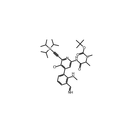 CNc1c(C=N)cccc1-c1cc(NC(=O)C(C)N(C)C(=O)OC(C)(C)C)nc(C#C[Si](C(C)C)(C(C)C)C(C)C)c1Cl